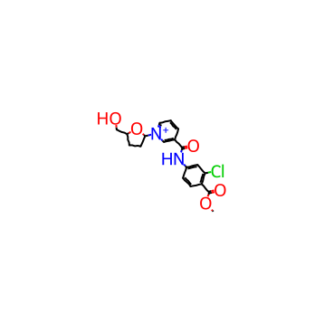 COC(=O)c1ccc(NC(=O)c2ccc[n+](C3CCC(CO)O3)c2)cc1Cl